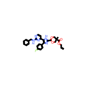 C=CCOC(=O)C1(C)COC(c2nc(-c3ccc(F)cc3)c(-c3ccnc(NCc4ccccc4)n3)[nH]2)OC1